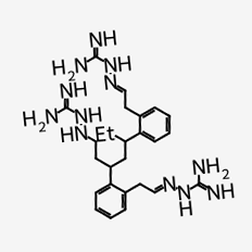 CCC(CC(CCNNC(=N)N)c1ccccc1CC=NNC(=N)N)c1ccccc1CC=NNC(=N)N